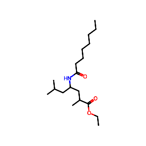 CCCCCCCC(=O)NC(CC(C)C)CC(C)C(=O)OCC